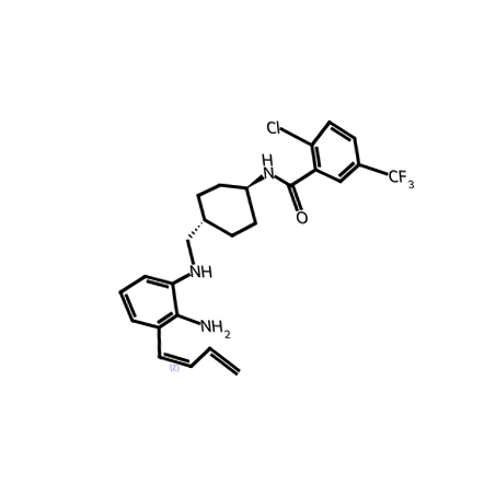 C=C/C=C\c1cccc(NC[C@H]2CC[C@H](NC(=O)c3cc(C(F)(F)F)ccc3Cl)CC2)c1N